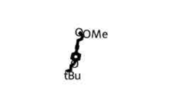 COC(=O)CCC#Cc1ccc(OCCCC(C)(C)C)cc1